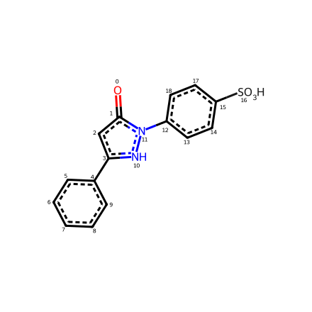 O=c1cc(-c2ccccc2)[nH]n1-c1ccc(S(=O)(=O)O)cc1